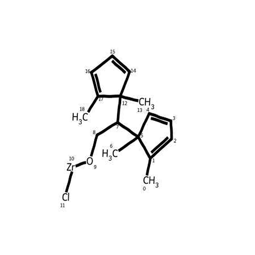 CC1=CC=CC1(C)C(C[O][Zr][Cl])C1(C)C=CC=C1C